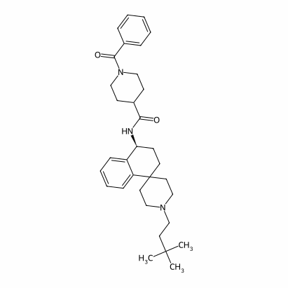 CC(C)(C)CCN1CCC2(CC[C@H](NC(=O)C3CCN(C(=O)c4ccccc4)CC3)c3ccccc32)CC1